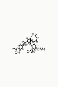 C=C(O)c1ccc(NC(=C)c2cc3n(n2)/C(c2ccc(OC)c(OC)c2)=C\C=C/CC3)cc1